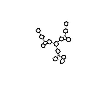 c1ccc(-c2ccc(-n3c4ccccc4c4cc(-c5cc(-c6ccc(N(c7ccccc7)c7cccc8ccccc78)cc6)cc(-c6ccc7c(c6)c6ccccc6n7-c6ccc(-c7ccccc7)cc6)c5)ccc43)cc2)cc1